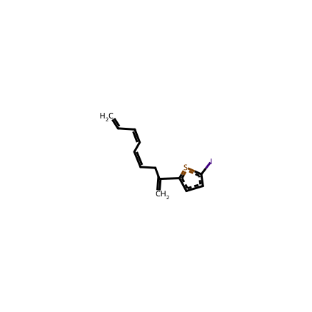 C=C/C=C\C=C/CC(=C)c1ccc(I)s1